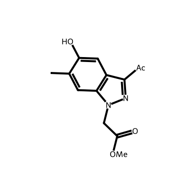 COC(=O)Cn1nc(C(C)=O)c2cc(O)c(C)cc21